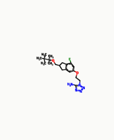 CC(C)(C)[Si](C)(C)OCC1Cc2cc(OCCn3nnnc3N)cc(F)c2C1